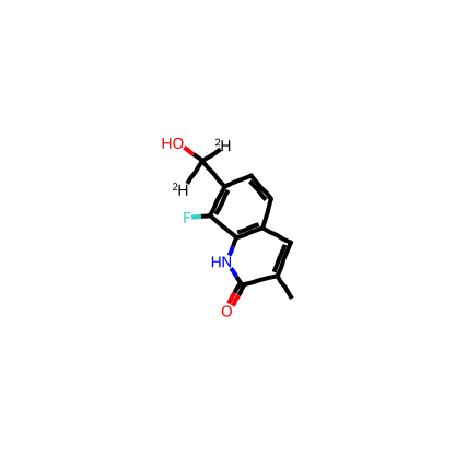 [2H]C([2H])(O)c1ccc2cc(C)c(=O)[nH]c2c1F